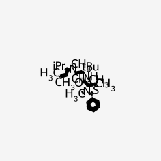 C=C(C(NC(=O)C1N(C)[C@@H](c2ccccc2)SC1(C)C)C(C)(C)C)N(C)C(C=C(C)C)C(C)C